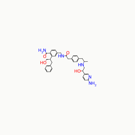 CC(Cc1ccc(CC(=O)NCc2ccc(C(N)=O)c([C@H](CO)Cc3ccccc3)c2)cc1)NC[C@H](O)c1ccc(N)nc1